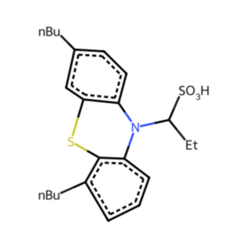 CCCCc1ccc2c(c1)Sc1c(CCCC)cccc1N2C(CC)S(=O)(=O)O